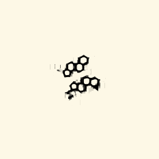 CC(=O)O[C@]1(C(C)=O)CC[C@H]2[C@@H]3C=C(Cl)C4=CC(=O)[C@@H]5C[C@@H]5[C@]4(C)[C@H]3CC[C@@]21C.CC(=O)[C@H]1CC[C@H]2[C@@H]3CCC4=CC(=O)CC[C@]4(C)[C@H]3CC[C@]12C